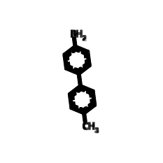 Bc1ccc(-c2ccc(C)cc2)cc1